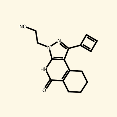 N#CCCn1nc(C2=CC=C2)c2c3c(c(=O)[nH]c21)CCCC3